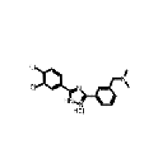 CN(C)Cc1cccc(-c2n[nH]c(-c3ccc(Cl)c(Cl)c3)n2)c1.Cl